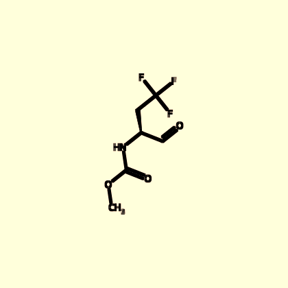 COC(=O)N[C@H](C=O)CC(F)(F)F